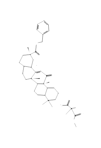 COC(=O)C(C)(C)C(=O)N[C@H]1CC[C@@]2(C)C(CC[C@]3(C)[C@@H]2C(=O)C=C2[C@@H]4C[C@@](C)(C(=O)OCc5ccccc5)CC[C@]4(C)CC[C@]23C)C1(C)C